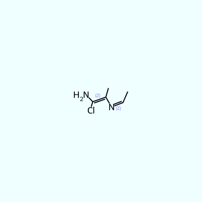 C/C=N\C(C)=C(\N)Cl